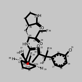 O=C1NCC[C@@H]1C[C@@H](NC(=O)[C@H]1[C@@H]2CC[C@@H](CC2(F)F)N1C(=O)C(F)(F)c1cccc(Cl)c1)C(=O)CF